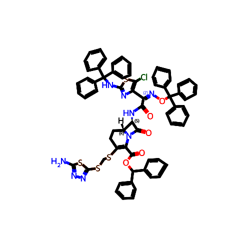 Nc1nnc(SCSC2=C(C(=O)OC(c3ccccc3)c3ccccc3)N3C(=O)[C@@H](NC(=O)/C(=N\OC(c4ccccc4)(c4ccccc4)c4ccccc4)c4nc(NC(c5ccccc5)(c5ccccc5)c5ccccc5)sc4Cl)[C@H]3CC2)s1